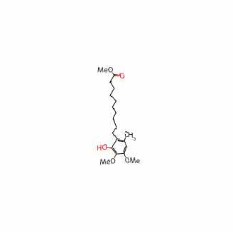 COC(=O)CCCCCCCCCc1c(C)cc(OC)c(OC)c1O